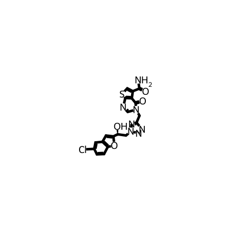 NC(=O)c1csc2ncn(Cc3nnn(C[C@H](O)c4cc5cc(Cl)ccc5o4)n3)c(=O)c12